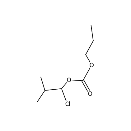 CCCOC(=O)OC(Cl)C(C)C